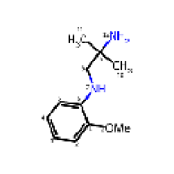 COc1ccccc1NCC(C)(C)N